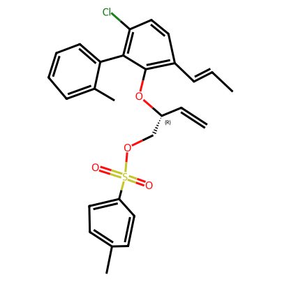 C=C[C@H](COS(=O)(=O)c1ccc(C)cc1)Oc1c(C=CC)ccc(Cl)c1-c1ccccc1C